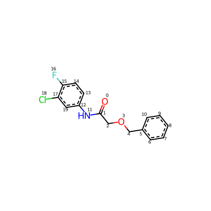 O=C(COCc1ccccc1)Nc1ccc(F)c(Cl)c1